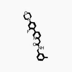 Cc1cccc(CNC(=O)Cc2ccc(-c3ccc(N4CCOCC4)cc3F)cn2)c1